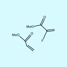 C=C(F)C(=O)OC.C=CC(=O)OC